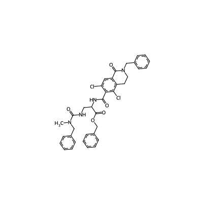 CN(Cc1ccccc1)C(=O)NCC(NC(=O)c1c(Cl)cc2c(c1Cl)CCN(Cc1ccccc1)C2=O)C(=O)OCc1ccccc1